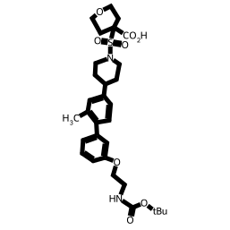 Cc1cc(C2CCN(S(=O)(=O)C3(C(=O)O)CCOCC3)CC2)ccc1-c1cccc(OCCNC(=O)OC(C)(C)C)c1